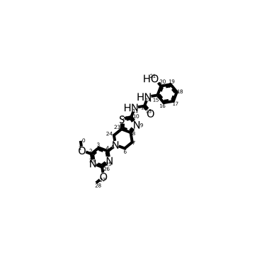 COc1cc(N2CCc3nc(NC(=O)Nc4ccccc4O)sc3C2)nc(OC)n1